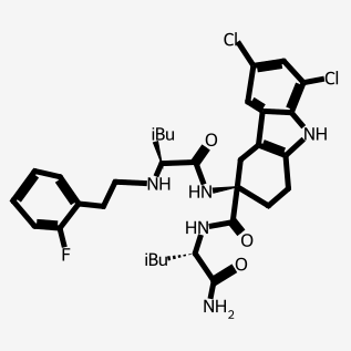 CCC(C)[C@H](NC(=O)[C@@]1(NC(=O)[C@@H](NCCc2ccccc2F)C(C)CC)CCc2[nH]c3c(Cl)cc(Cl)cc3c2C1)C(N)=O